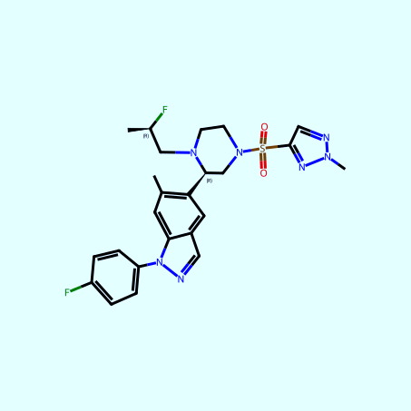 Cc1cc2c(cnn2-c2ccc(F)cc2)cc1[C@@H]1CN(S(=O)(=O)c2cnn(C)n2)CCN1C[C@@H](C)F